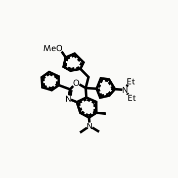 CCN(CC)c1ccc(C2(Cc3ccc(OC)cc3)OC(c3ccccc3)=Nc3cc(N(C)C)c(C)cc32)cc1